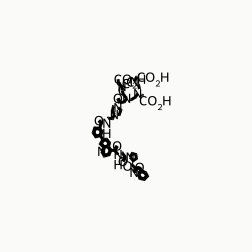 O=C(O)CN1CCN(CC(=O)O)CCN(CC(=O)N2CCN(CCNC(=O)c3cccc(-c4ccc5c(C(=O)NCC(=O)N6CCC[C@H]6C(=O)c6nc7ccccc7o6)ccnc5c4)c3)CC2)CCN(CC(=O)O)CC1